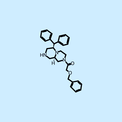 O=C(COCc1ccccc1)N1CCN2[C@H](CNC[C@H]2C(c2ccccc2)c2ccccc2)C1